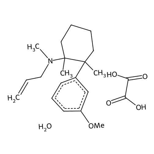 C=CCN(C)C1(C)CCCCC1(C)c1cccc(OC)c1.O.O=C(O)C(=O)O